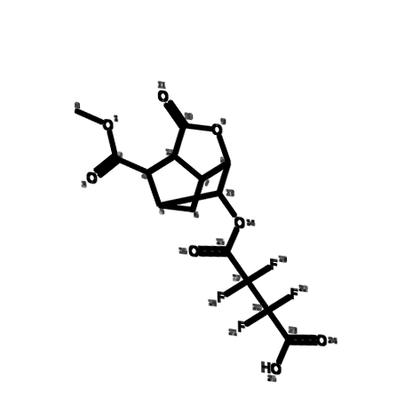 COC(=O)C1C2CC3C(OC(=O)C31)C2OC(=O)C(F)(F)C(F)(F)C(=O)O